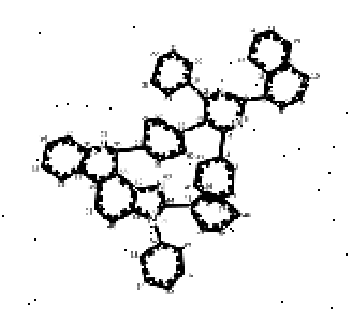 c1ccc(-c2nc(-c3cccc4ccccc34)nc(-c3ccccc3)c2-c2ccc(-c3nc4ccccc4c4ccc5c(nc(-c6ccccc6)n5-c5ccccc5)c34)cc2)cc1